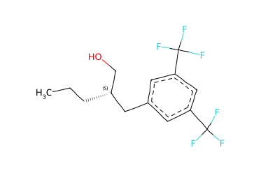 CCC[C@H](CO)Cc1cc(C(F)(F)F)cc(C(F)(F)F)c1